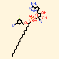 CCCCCCCCCCCCCCCCC[C@@H](COP(=O)(O)OC[C@@]1(C#N)OC(c2ccc3c(N)ncnn23)[C@H](O)[C@@H]1O)OCc1cc(F)cc(C#N)c1